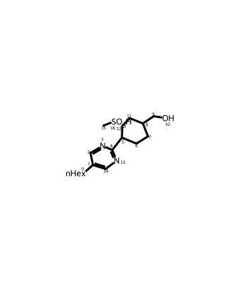 CCCCCCc1cnc(C2CCC(CO)CC2)nc1.CS(=O)(=O)O